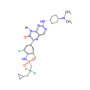 CC(C)n1c(=O)c(-c2cc(F)c(NS(=O)(=O)CC(F)(F)CC3CC3)c(F)c2)nc2cnc(N[C@H]3CC[C@H](N(C)C)CC3)nc21